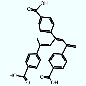 C=C(/C=C(\C=C(/C)c1ccc(C(=O)O)cc1)c1ccc(C(=O)O)cc1)c1ccc(C(=O)O)cc1